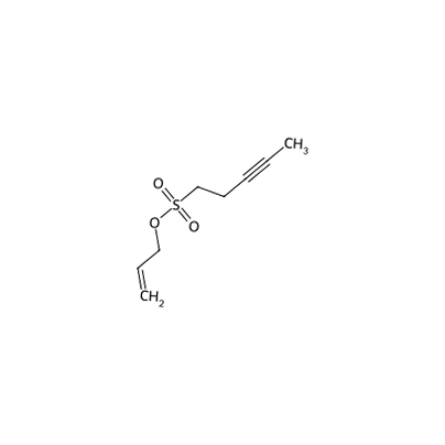 C=CCOS(=O)(=O)CCC#CC